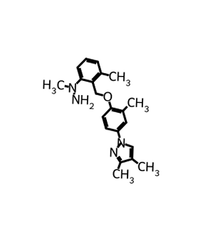 Cc1cc(-n2cc(C)c(C)n2)ccc1OCc1c(C)cccc1N(C)N